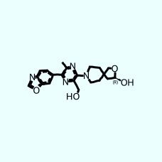 Cc1nc(N2CCC3(CC2)CO[C@@H](O)C3)c(CO)nc1-c1ccc2ncoc2c1